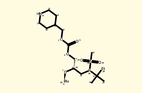 CC[C@H](C)O[C@H](COC(=O)OCC1CCNCC1)CN(C(C)(C)CC)S(C)(=O)=O